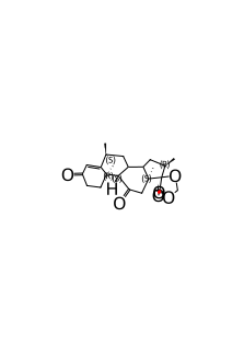 C[C@@H]1CC2C3C[C@H](C)C4=CC(=O)CC[C@]4(C)[C@H]3C(=O)C[C@]2(C)C12OCOC21COCO1